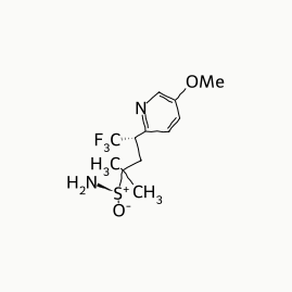 COc1ccc([C@H](CC(C)(C)[S@+](N)[O-])C(F)(F)F)nc1